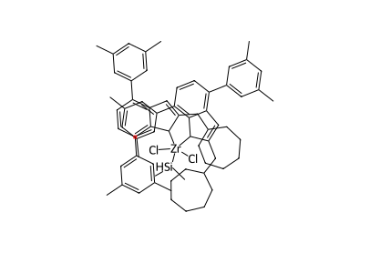 Cc1cc(C)cc(-c2ccc(-c3cc(C)cc(C)c3)c3c2C=C(CC2CCCCCC2)[CH]3[Zr]([Cl])([Cl])([CH]2C(CC3CCCCCC3)=Cc3c(-c4cc(C)cc(C)c4)ccc(-c4cc(C)cc(C)c4)c32)[SiH](C)C)c1